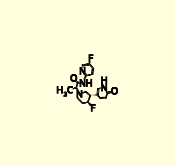 CC(C(=O)Nc1ccc(F)cn1)N1CC[C@H](F)[C@@H](c2ccc(=O)[nH]c2)C1